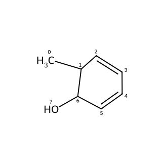 CC1C=CC=CC1O